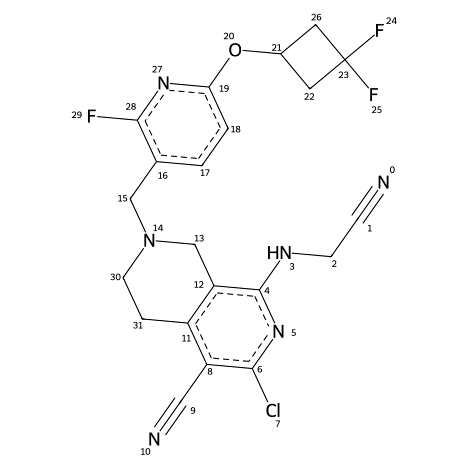 N#CCNc1nc(Cl)c(C#N)c2c1CN(Cc1ccc(OC3CC(F)(F)C3)nc1F)CC2